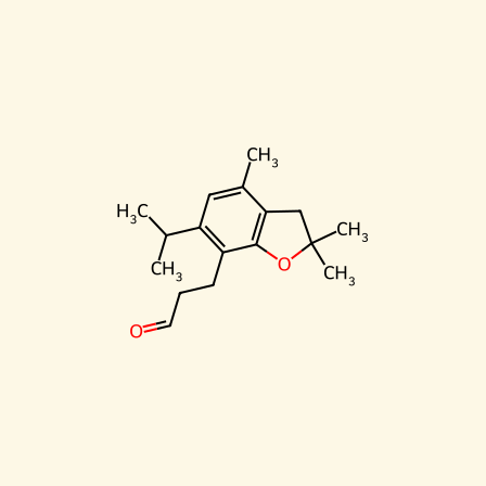 Cc1cc(C(C)C)c(CCC=O)c2c1CC(C)(C)O2